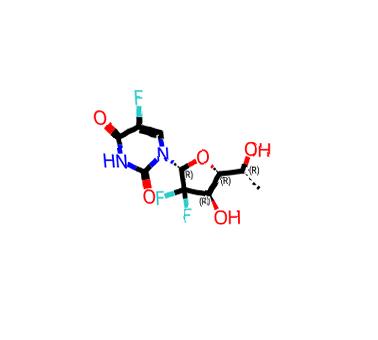 C[C@@H](O)[C@H]1O[C@@H](n2cc(F)c(=O)[nH]c2=O)C(F)(F)[C@@H]1O